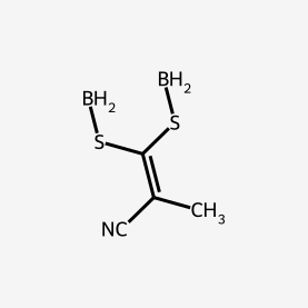 BSC(SB)=C(C)C#N